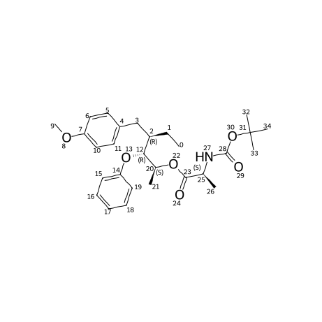 CC[C@H](Cc1ccc(OC)cc1)[C@@H](Oc1ccccc1)[C@H](C)OC(=O)[C@H](C)NC(=O)OC(C)(C)C